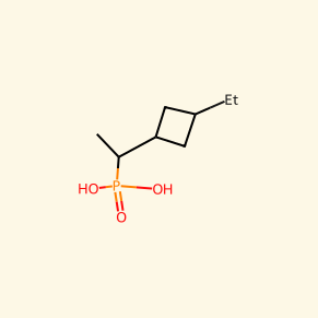 CCC1CC(C(C)P(=O)(O)O)C1